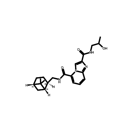 CC(O)CNC(=O)c1cn2c(C(=O)NC[C@@H]3CC[C@H]4C[C@@H]3C4(C)C)cccc2n1